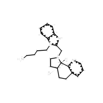 NCCCCn1c(CN2CC[C@@H]3CCc4cccnc4[C@H]32)nc2ccccc21